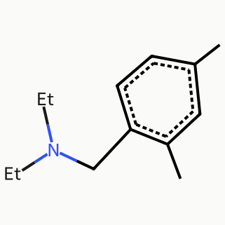 CCN(CC)Cc1ccc(C)cc1C